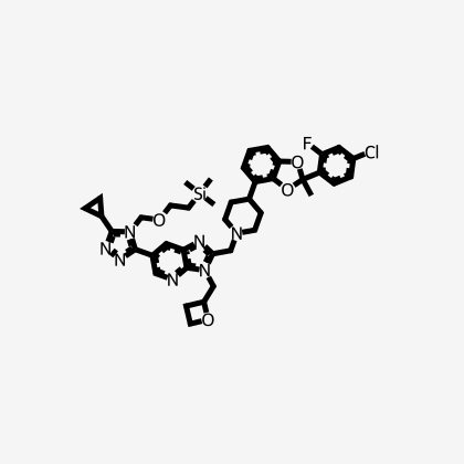 CC1(c2ccc(Cl)cc2F)Oc2cccc(C3CCN(Cc4nc5cc(-c6nnc(C7CC7)n6COCC[Si](C)(C)C)cnc5n4CC4CCO4)CC3)c2O1